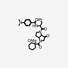 COC1(C(=O)N2CC(=O)C3C2CCN3C(=O)C(CC(C)C)NC(=O)c2ccc(N(C)C)cc2)CCCCC1